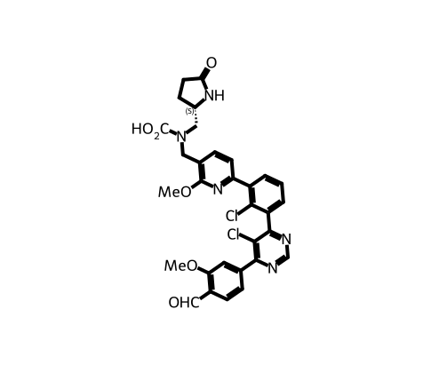 COc1cc(-c2ncnc(-c3cccc(-c4ccc(CN(C[C@@H]5CCC(=O)N5)C(=O)O)c(OC)n4)c3Cl)c2Cl)ccc1C=O